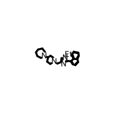 CCn1cc(CN2CCC(N3CCCCCC3)CC2)nc1-c1cccc2ccccc12